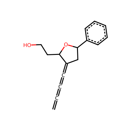 C=C=C=C=C1CC(c2ccccc2)OC1CCO